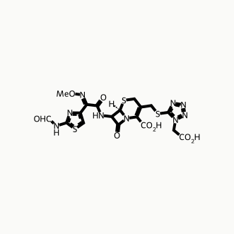 CO/N=C(/C(=O)NC1C(=O)N2C(C(=O)O)=C(CSc3nnnn3CC(=O)O)CS[C@H]12)c1csc(NC=O)n1